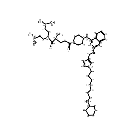 N[C@@H](CCC(=O)N1CCC(Nc2nc(NCc3cn(CCCNCCCNC4CCCCC4)nn3)nc3ccccc23)CC1)C(=O)N(CCP(O)O)CCP(O)O